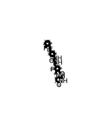 O=C1CCC(N2Cc3c(ccc(CNC(=O)Nc4ccc(OCc5ccccc5F)cc4)c3F)C2=O)C(=O)N1